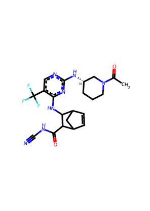 CC(=O)N1CCC[C@H](Nc2ncc(C(F)(F)F)c(NC3C4C=CC(C4)C3C(=O)NC#N)n2)C1